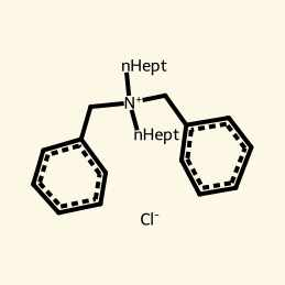 CCCCCCC[N+](CCCCCCC)(Cc1ccccc1)Cc1ccccc1.[Cl-]